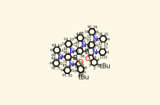 CC(C)(C)c1ccc2oc3c(c2c1)N(c1ccccc1)c1cc(N(c2ccccc2)c2ccccc2)cc2c1B3c1cc3c(cc1N2c1ccccc1)N(c1ccccc1)c1cc(N(c2ccccc2)c2ccccc2)cc2c1B3c1oc3ccc(C(C)(C)C)cc3c1N2c1ccccc1